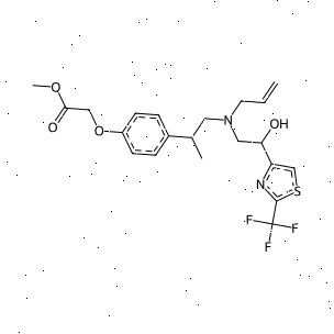 C=CCN(CC(C)c1ccc(OCC(=O)OC)cc1)CC(O)c1csc(C(F)(F)F)n1